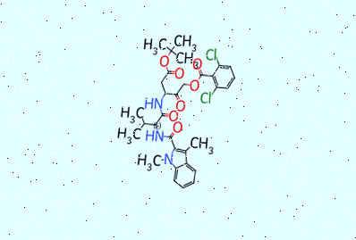 Cc1c(C(=O)N[C@H](C(=O)NC(CC(=O)OC(C)(C)C)C(=O)COC(=O)c2c(Cl)cccc2Cl)C(C)C)n(C)c2ccccc12